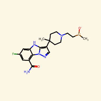 C[S+]([O-])CCN1CCC(C)(c2cnn3c2[nH]c2cc(F)cc(C(N)=O)c23)CC1